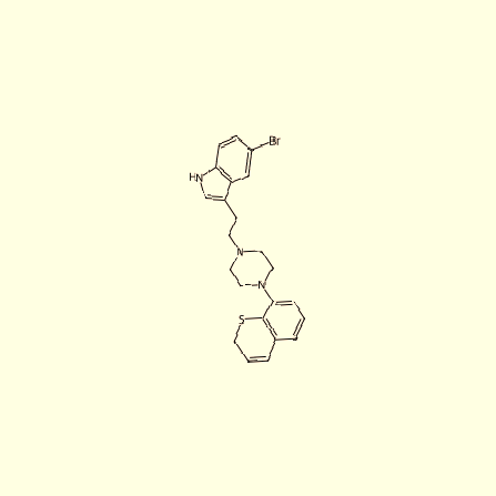 Brc1ccc2[nH]cc(CCN3CCN(c4cccc5c4SCC=C5)CC3)c2c1